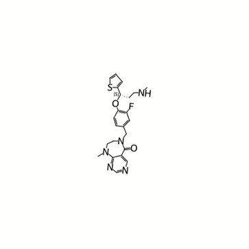 CNCC[C@H](Oc1ccc(CN2CCN(C)c3ncncc3C2=O)cc1F)c1cccs1